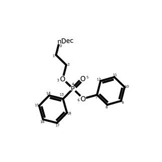 CCCCCCCCCCCCOP(=O)(Oc1ccccc1)c1ccccc1